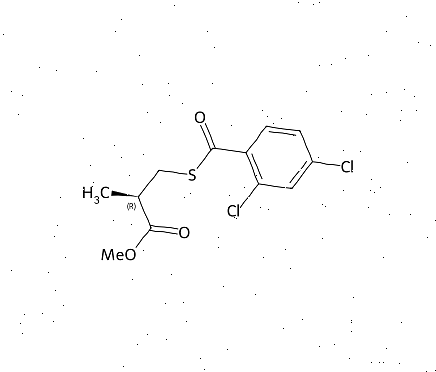 COC(=O)[C@@H](C)CSC(=O)c1ccc(Cl)cc1Cl